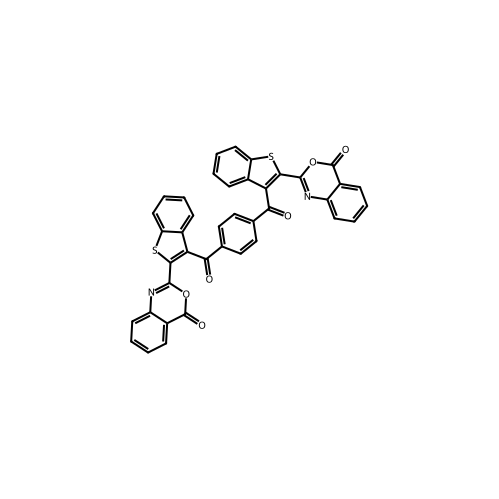 O=C(c1ccc(C(=O)c2c(-c3nc4ccccc4c(=O)o3)sc3ccccc23)cc1)c1c(-c2nc3ccccc3c(=O)o2)sc2ccccc12